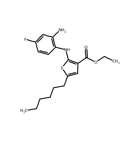 CCCCCCc1cc(C(=O)OCC)c(Nc2ccc(F)cc2N)s1